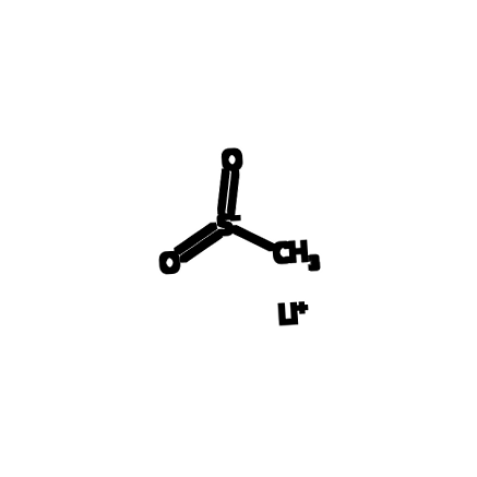 C[S-](=O)=O.[Li+]